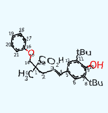 CC(CC=Cc1cc(C(C)(C)C)c(O)c(C(C)(C)C)c1)(COc1ccccc1)C(=O)O